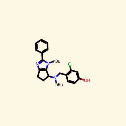 CCCCN(Cc1ccc(O)cc1Cl)C1CCc2nc(-c3ccccc3)n(CCCC)c21